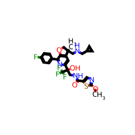 COc1ncc(C(=O)NCC(O)(c2cc3c(c(-c4ccc(F)cc4)n2)OC[C@]3(C)CNCC2CC2)C(F)(F)F)s1